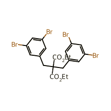 CCOC(=O)C(Cc1cc(Br)cc(Br)c1)(Cc1cc(Br)cc(Br)c1)C(=O)OCC